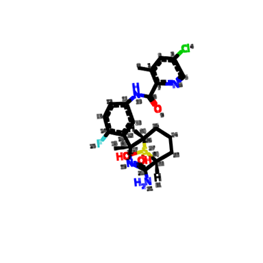 Cc1cc(Cl)cnc1C(=O)Nc1ccc(F)c([C@@]2(C)N=C(N)[C@H]3CCC[C@@H]2S3(O)O)c1